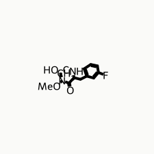 CON(C)C(=O)C(Cc1cccc(F)c1)NC(=O)O